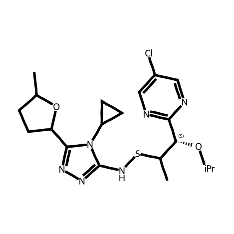 CC(C)O[C@@H](c1ncc(Cl)cn1)C(C)SNc1nnc(C2CCC(C)O2)n1C1CC1